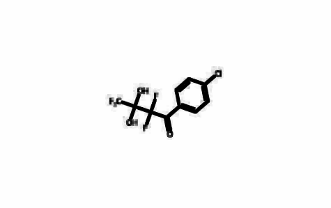 O=C(c1ccc(Cl)cc1)C(F)(F)C(O)(O)C(F)(F)F